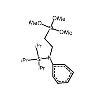 CO[Si](CCN(c1ccccc1)[Si](C(C)C)(C(C)C)C(C)C)(OC)OC